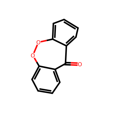 O=C1c2ccccc2OOc2ccccc21